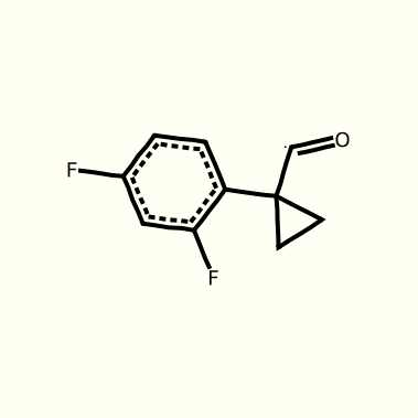 O=[C]C1(c2ccc(F)cc2F)CC1